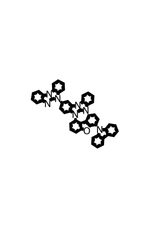 c1ccc2c(c1)nc1n(-c3ccc4c(c3)n3c5ccccc5nc3n4-c3cccc4oc5c(-n6c7ccccc7c7ccccc76)cccc5c34)c3ccccc3n21